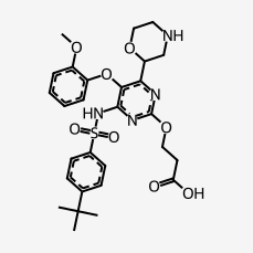 COc1ccccc1Oc1c(NS(=O)(=O)c2ccc(C(C)(C)C)cc2)nc(OCCC(=O)O)nc1C1CNCCO1